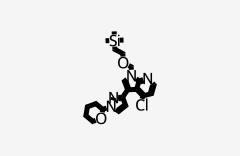 C[Si](C)(C)CCOCn1cc(-c2ccn(C3CCCCO3)n2)c2c(Cl)ccnc21